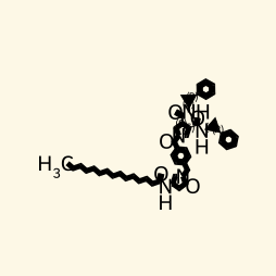 CCCCCCCCCCCCCCC(=O)NC1CC(=O)N(Cc2ccc(C(=O)N3C[C@@H](C(=O)N[C@H]4C[C@@H]4c4ccccc4)[C@H](C(=O)N[C@H]4C[C@@H]4c4ccccc4)C3)cc2)C1